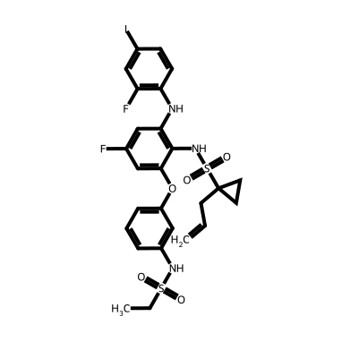 C=CCC1(S(=O)(=O)Nc2c(Nc3ccc(I)cc3F)cc(F)cc2Oc2cccc(NS(=O)(=O)CC)c2)CC1